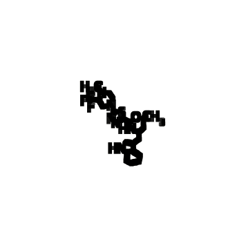 CCCC(Cc1c[nH]c2ccccc12)NC(=O)c1nnc(N2CCN(C)C(C(F)(F)F)C2)s1